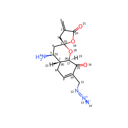 C=C1C[C@@]2(C[C@H](N)[C@H]3CC=C(CN=[N+]=[N-])C(=O)[C@@H]3O2)OC1=O